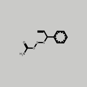 C=CC(SSOC(N)=O)c1ccccc1